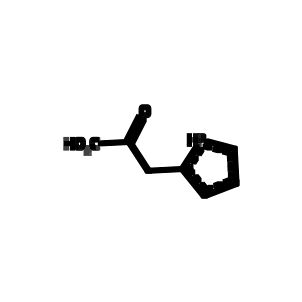 O=C(O)C(=O)Cc1ccc[pH]1